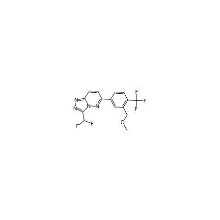 COCc1cc(-c2ccc3nnc(C(F)F)n3n2)ccc1C(F)(F)F